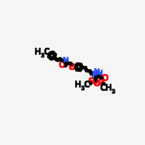 CCOC(=O)c1nnn(CCCCc2ccc(OCc3coc(/C=C/c4ccc(C)cc4)n3)cc2)c1C(=O)OCC